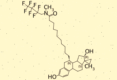 CN(CC(F)(F)C(F)(F)C(F)(F)F)C(=O)CCCCCCCCCC[C@@H]1Cc2cc(O)ccc2C2CC[C@@]3(C)C(C[C@@H](O)C34CC4)C21